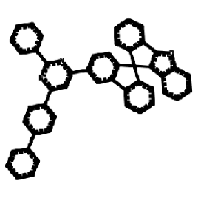 c1ccc(-c2ccc(-c3cc(-c4ccc5c(c4)-c4ccccc4C54c5ccccc5-c5oc6ccccc6c54)nc(-c4ccccc4)n3)cc2)cc1